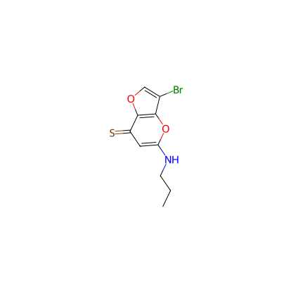 CCCNc1cc(=S)c2occ(Br)c2o1